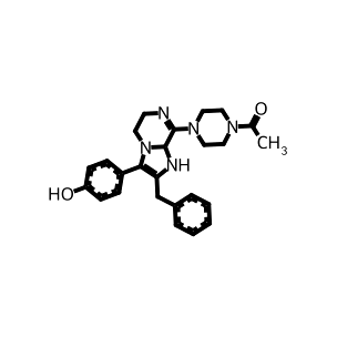 CC(=O)N1CCN(C2=NCCN3C(c4ccc(O)cc4)=C(Cc4ccccc4)NC23)CC1